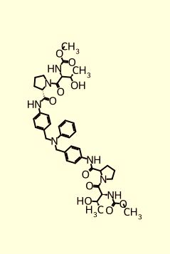 COC(=O)N[C@H](C(=O)N1CCCC1C(=O)Nc1ccc(CN(Cc2ccc(NC(=O)[C@@H]3CCCN3C(=O)[C@@H](NC(=O)OC)[C@@H](C)O)cc2)c2ccccc2)cc1)[C@@H](C)O